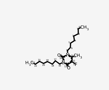 CCCCCCCCn1c(C)c(F)c(=O)n(CCCCCCCC)c1=O